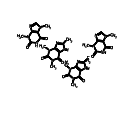 Cc1nc2c([nH]1)c(=O)n(C)c(=O)n2C.Cc1nc2c([nH]1)c(=O)n(C)c(=O)n2C.Cn1cnc2c1c(=O)[nH]c(=O)n2C.Cn1cnc2c1c(=O)[nH]c(=O)n2C